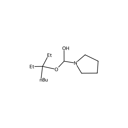 CCCCC(CC)(CC)OC(O)N1CCCC1